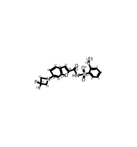 CCOc1ccccc1S(=O)(=O)NC(=O)c1cc2ccc(N3CC(F)(F)C3)cc2o1